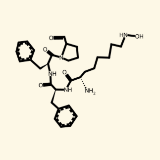 N[C@@H](CCCCCCNO)C(=O)N[C@@H](Cc1ccccc1)C(=O)N[C@@H](Cc1ccccc1)C(=O)N1CCCC1C=O